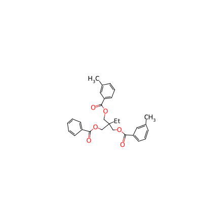 CCC(COC(=O)c1ccccc1)(COC(=O)c1cccc(C)c1)COC(=O)c1cccc(C)c1